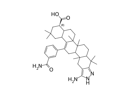 CC1(C)CC2C3=C(c4cccc(C(N)=O)c4)CC4C5(C)Cc6c(n[nH]c6N)C(C)(C)C5CCC4(C)C3(C)CCC2[C@H](C(=O)O)C1